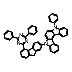 c1ccc(-c2nc(-c3ccccc3)nc(-c3cccc4c3-c3ccc(-n5c6ccccc6c6c7c8ccccc8n(-c8ccccc8)c7ccc65)cc3C4)n2)cc1